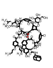 CN[C@H](CC(C)C)C(=O)N[C@H]1C(=O)N[C@@H](CC(=O)NC(=O)c2ccc(OCCN)c(OCCN)c2)C(=O)N[C@H]2C(=O)N[C@H]3C(=O)N[C@H](C(=O)N[C@H](C(=O)NC4C5CC6CC(C5)CC4C6)c4cc(O)cc5c4-c4cc3ccc4C5(O)O)[C@H](O)c3ccc(c(Cl)c3)Oc3cc2cc(c3O[C@@H]2O[C@H](CO)[C@@H](O)[C@H](O)[C@H]2O)Oc2ccc(cc2Cl)[C@H]1O